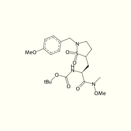 COc1ccc(CN2CCC(C[C@H](NC(=O)OC(C)(C)C)C(=O)N(C)OC)S2(=O)=O)cc1